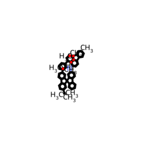 Cc1ccc2c(c1)C(C)(C)c1cc(N(c3ccc4c(c3)C3(c5ccccc5-4)c4cc(C(C)(C)C)ccc4-c4ccc(C(C)(C)C)cc43)c3ccccc3-c3ccccc3)ccc1-2